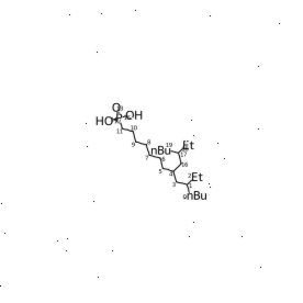 CCCCC(CC)CC(CCCCCCCP(=O)(O)O)CC(CC)CCCC